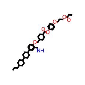 C=CC(=O)OCCCOc1ccc(OC(=O)C2CCC(COc3ccc(C4CCC(C5CCC(CCC)CC5)CC4)cc3C=N)CC2)cc1